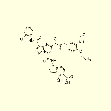 CCOc1ccc(CNC(=O)c2cc(C(=O)N[C@H]3CCc4c3ccc(C(=O)O)c4C)n3ncc(C(=O)Nc4ccccc4Cl)c3n2)cc1NC=O